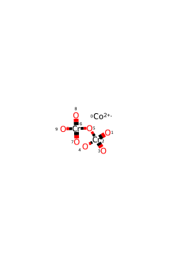 [Co+2].[O]=[Cr](=[O])([O-])[O][Cr](=[O])(=[O])[O-]